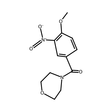 COc1ccc(C(=O)N2CCOCC2)cc1[N+](=O)[O-]